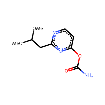 COC(Cc1nccc(OC(N)=O)n1)OC